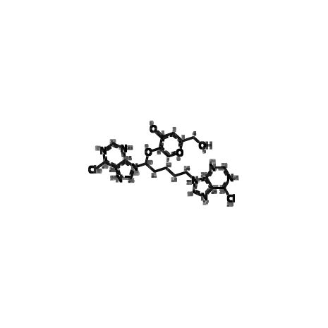 O=c1cc(CO)occ1OC(CCCCn1cnc2c(Cl)ncnc21)n1cnc2c(Cl)ncnc21